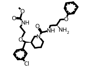 COC(=O)NCCOC(c1cccc(Cl)c1)[C@@H]1CCCN(C(=O)NC[C@@H](N)COc2ccccc2)C1